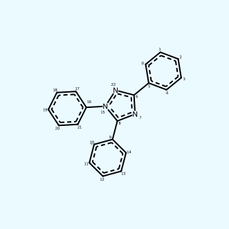 [c]1ccccc1-c1nc(-c2[c]cccc2)n(-c2ccccc2)n1